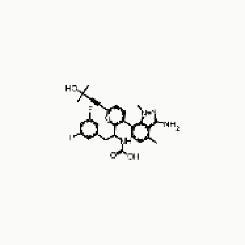 Cc1ccc(-c2ccc(C#CC(C)(C)O)nc2C(Cc2cc(F)cc(F)c2)NC(=O)O)c2c1c(N)nn2C